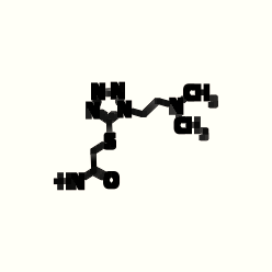 CN(C)CCn1nnnc1SCC([NH])=O